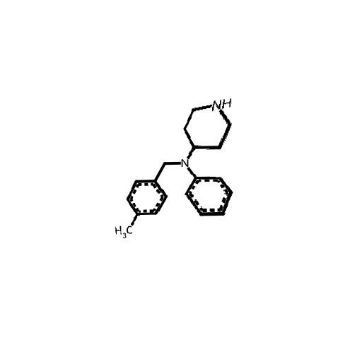 Cc1ccc(CN(c2ccccc2)C2CCNCC2)cc1